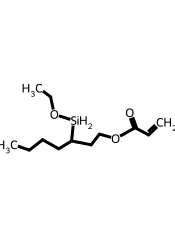 C=CC(=O)OCCC(CCCC)[SiH2]OCC